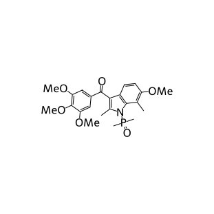 COc1cc(C(=O)c2c(C)n(P(C)(C)=O)c3c(C)c(OC)ccc23)cc(OC)c1OC